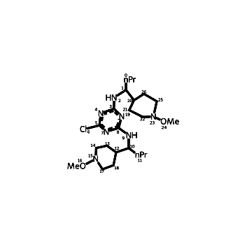 CCCC(Nc1nc(Cl)nc(NC(CCC)C2CCN(OC)CC2)n1)C1CCN(OC)CC1